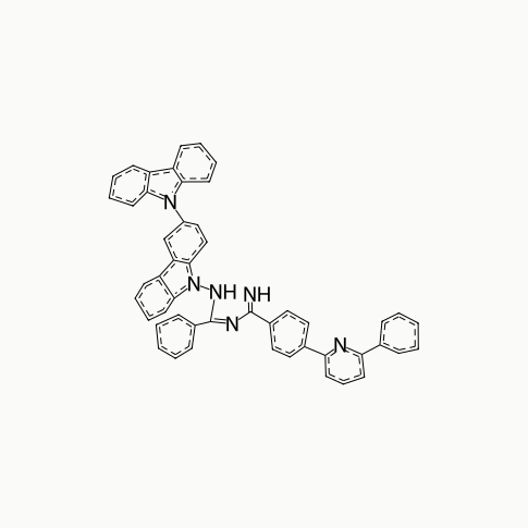 N=C(/N=C(\Nn1c2ccccc2c2cc(-n3c4ccccc4c4ccccc43)ccc21)c1ccccc1)c1ccc(-c2cccc(-c3ccccc3)n2)cc1